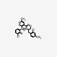 Cc1ccc(CC2CON=C(c3cc(C)nnc3[S+]([O-])c3cccc(Cl)c3F)N2)c(Cl)c1